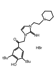 Br.CC(C)(C)c1cc(C(=O)Cn2ccn(CCN3CCCCC3)c2=N)cc(C(C)(C)C)c1O